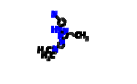 CCCc1cc(N2CCC(N(CC)CC)C2)nc(Nc2cccc(C#N)c2)n1